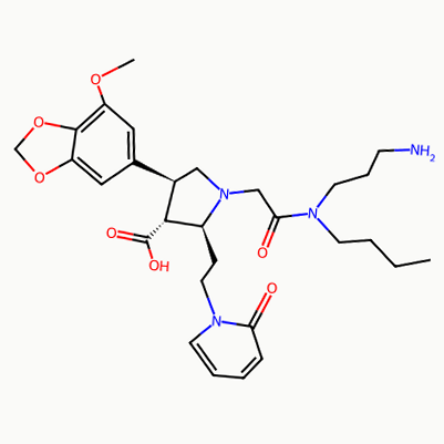 CCCCN(CCCN)C(=O)CN1C[C@H](c2cc(OC)c3c(c2)OCO3)[C@@H](C(=O)O)[C@@H]1CCn1ccccc1=O